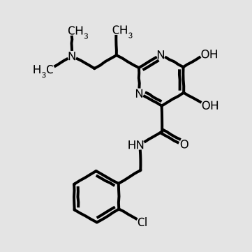 CC(CN(C)C)c1nc(O)c(O)c(C(=O)NCc2ccccc2Cl)n1